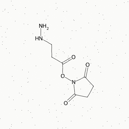 NNCCC(=O)ON1C(=O)CCC1=O